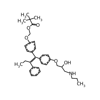 CCCNCC(O)COc1ccc(/C(=C(/CC)c2ccccc2)c2ccc(OCOC(=O)C(C)(C)C)cc2)cc1